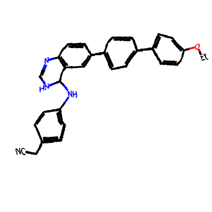 CCOc1ccc(-c2ccc(-c3ccc4c(c3)C(Nc3ccc(CC#N)cc3)NC=N4)cc2)cc1